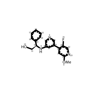 COc1cc(-c2cncc(N[C@@H](CO)c3ccccc3)c2)c(F)cn1